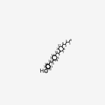 CCCCCC1CCC(CCC2CCC(CCc3ccc(O)cc3)CC2)CC1